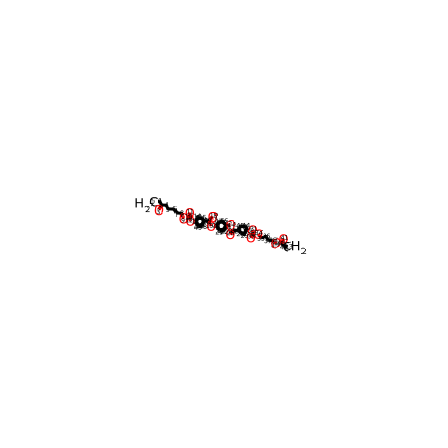 C=CC(=O)CCCCCOC(=O)Oc1ccc(C(=O)Oc2ccc(OC(=O)c3ccc(OC(=O)OCCCCOC(=O)C=C)cc3)cc2)cc1